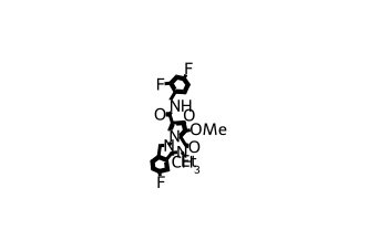 CCN1C(=O)c2c(OC)c(=O)c(C(=O)NCc3ccc(F)cc3F)cn2N2Cc3ccc(F)cc3[C@@]12C